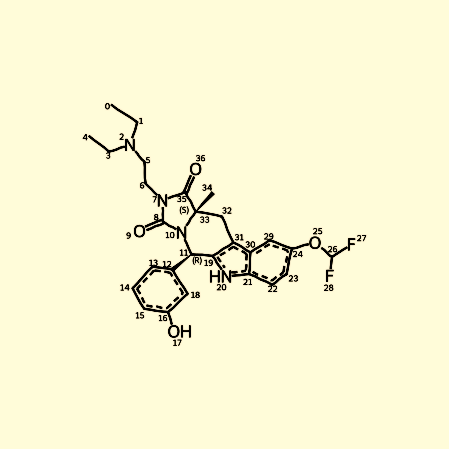 CCN(CC)CCN1C(=O)N2[C@H](c3cccc(O)c3)c3[nH]c4ccc(OC(F)F)cc4c3C[C@@]2(C)C1=O